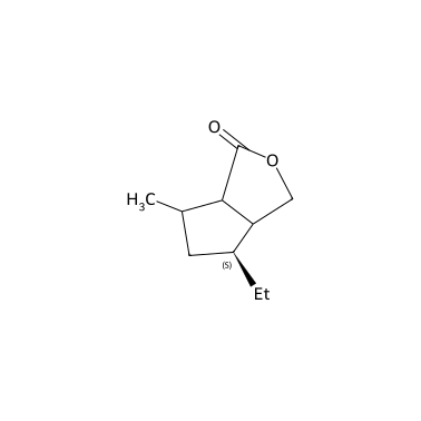 CC[C@H]1CC(C)C2C(=O)OCC21